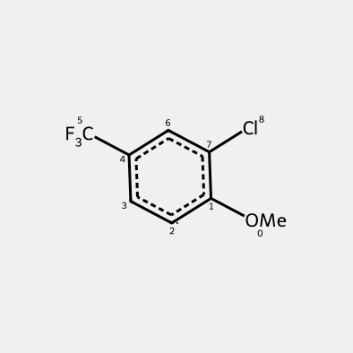 COc1[c]cc(C(F)(F)F)cc1Cl